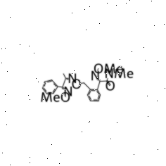 CNC(=O)C(=NOC)c1ccccc1CON=C(C)C(=NOC)c1ccccc1